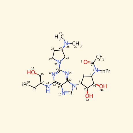 CCCN(C(=O)C(F)(F)F)C1C[C@@H](n2cnc3c(N[C@H](CO)CC(C)C)nc(N4CC[C@@H](N(C)C)C4)nc32)[C@H](O)[C@@H]1O